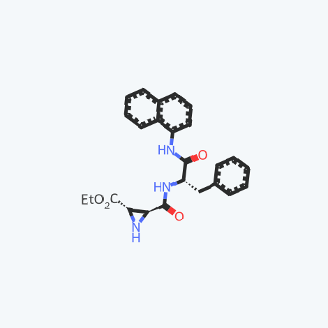 CCOC(=O)[C@H]1N[C@@H]1C(=O)N[C@@H](Cc1ccccc1)C(=O)Nc1cccc2ccccc12